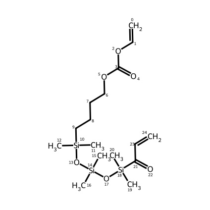 C=COC(=O)OCCCC[Si](C)(C)O[Si](C)(C)O[Si](C)(C)C(=O)C=C